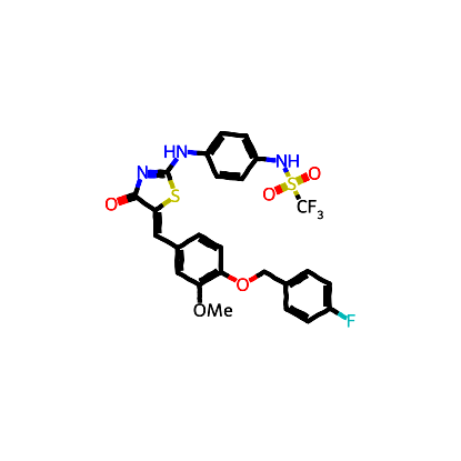 COc1cc(/C=C2\SC(Nc3ccc(NS(=O)(=O)C(F)(F)F)cc3)=NC2=O)ccc1OCc1ccc(F)cc1